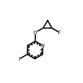 FC1CC1Oc1cc(I)ccn1